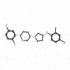 Cc1cc(Br)ccc1O[C@@H]1CCN([C@H]2CC[C@@H](c3cc(F)ccc3F)OC2)C1